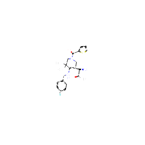 CC(=O)C(=N)C1=C(NCc2ccc(F)cc2)C(C)(C)CN(C(=O)c2cccs2)C1